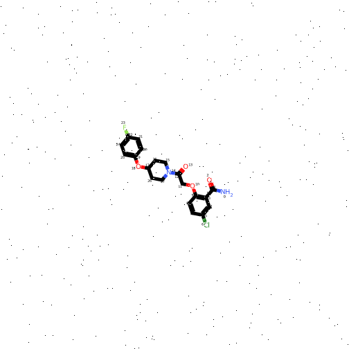 NC(=O)c1cc(Cl)ccc1OCC(=O)N1CCC(Oc2ccc(F)cc2)CC1